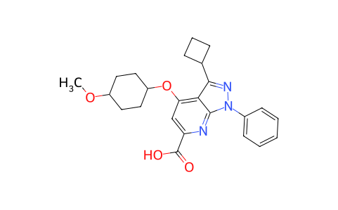 COC1CCC(Oc2cc(C(=O)O)nc3c2c(C2CCC2)nn3-c2ccccc2)CC1